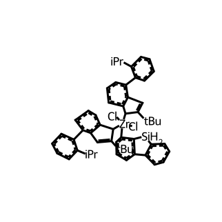 CC(C)c1ccccc1-c1cccc2c1C=C(C(C)(C)C)[CH]2[Zr]([Cl])([Cl])([c]1cccc2c1[SiH2]c1ccccc1-2)[CH]1C(C(C)(C)C)=Cc2c(-c3ccccc3C(C)C)cccc21